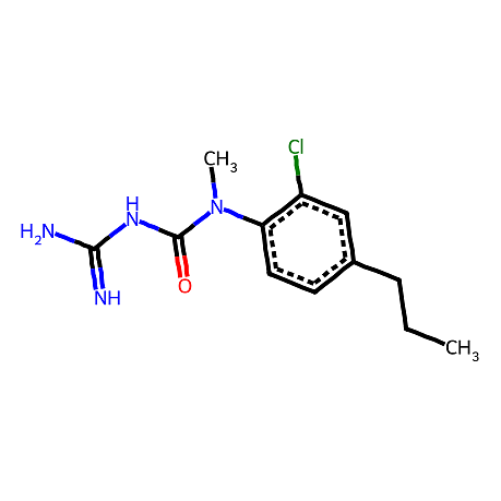 CCCc1ccc(N(C)C(=O)NC(=N)N)c(Cl)c1